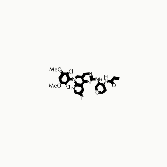 C=CC(=O)N[C@H]1CCOC[C@H]1Nc1ncc2c(n1)-c1cc(F)cnc1N(c1c(Cl)c(OC)cc(OC)c1Cl)C2